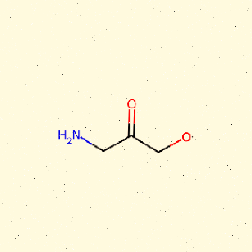 NCC(=O)C[O]